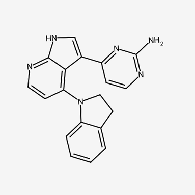 Nc1nccc(-c2c[nH]c3nccc(N4CCc5ccccc54)c23)n1